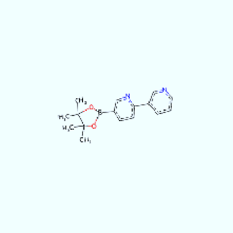 CC1(C)OB(c2ccc(-c3cccnc3)nc2)OC1(C)C